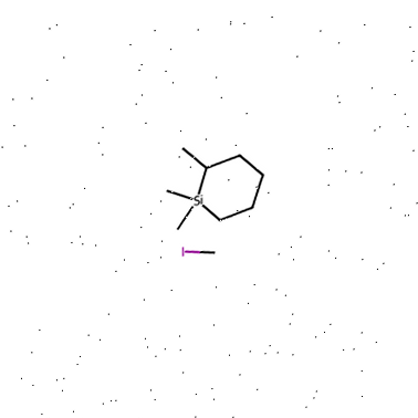 CC1CCCC[Si]1(C)C.CI